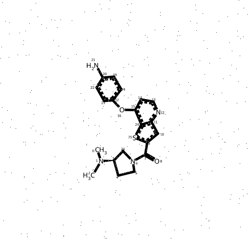 CN(C)[C@@H]1CCN(C(=O)c2cc3nccc(Oc4ccc(N)cc4)c3s2)C1